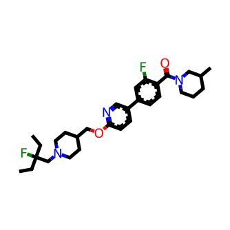 CCC(F)(CC)CN1CCC(COc2ccc(-c3ccc(C(=O)N4CCCC(C)C4)c(F)c3)cn2)CC1